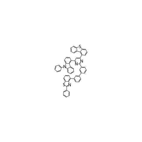 c1ccc(-c2nc3c(-c4cccc(-c5cccc(-c6nc(-c7cccc8sc9ccccc9c78)cc(-c7cccc8c7c7ccccc7n8-c7ccccc7)n6)c5)c4)cccc3s2)cc1